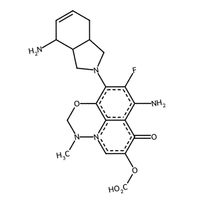 CN1COc2c(N3CC4CC=CC(N)C4C3)c(F)c(N)c3c(=O)c(OC(=O)O)cn1c23